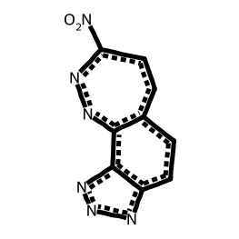 O=[N+]([O-])c1ccc2ccc3nnnc3c2nn1